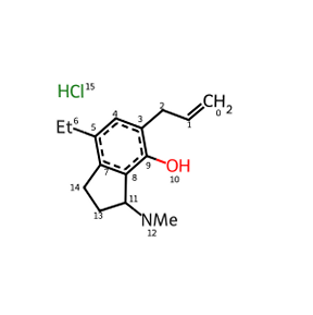 C=CCc1cc(CC)c2c(c1O)C(NC)CC2.Cl